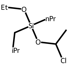 CCC[Si](CC(C)C)(OCC)OC(C)Cl